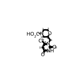 O=C(O)N1CCOC(Cn2c(Cl)cc(=O)[nH]c2=O)C1